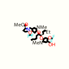 C=C/C=C\CC(Oc1cc(OC(F)F)c(CN2CCC[C@H]2C(=O)OC)cc1NC)[C@@H](C/C=C\CC)Oc1cc(OC(F)F)c(CO)cc1NC